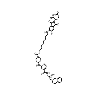 O=C1CCC(N2C(=O)c3cc(F)c(NCCCCCCCCCC(=O)N4CCC(Nc5cc(C(=O)NC[C@H](O)CN6CCc7ccccc7C6)ncn5)CC4)cc3C2=O)C(=O)N1